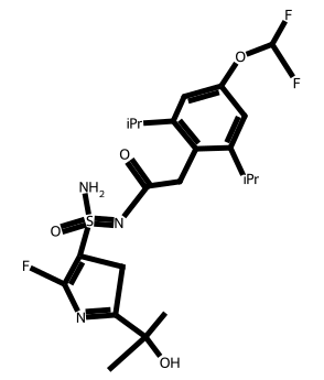 CC(C)c1cc(OC(F)F)cc(C(C)C)c1CC(=O)N=S(N)(=O)C1=C(F)N=C(C(C)(C)O)C1